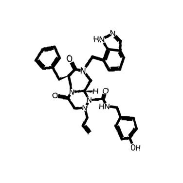 C=CCN1CC(=O)N2[C@@H](Cc3ccccc3)C(=O)N(Cc3cccc4cn[nH]c34)C[C@@H]2N1C(=O)NCc1ccc(O)cc1